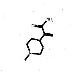 C=C(C(N)=O)C1CCN(C)CC1